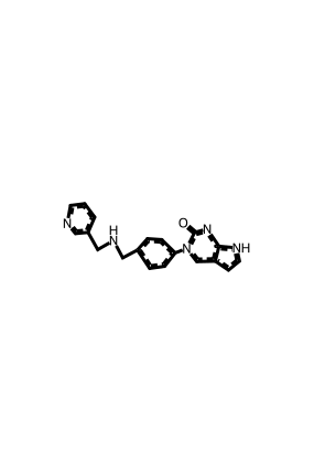 O=c1nc2[nH]ccc2cn1-c1ccc(CNCc2cccnc2)cc1